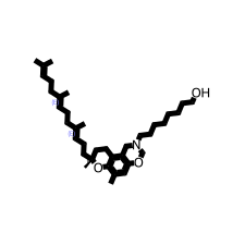 CC(C)=CCC/C(C)=C/CC/C(C)=C/CC[C@]1(C)CCc2c3c(cc(C)c2O1)OCN(CCCCCCCCO)C3